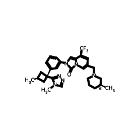 C[C@H]1CCCN(Cc2cc(C(F)(F)F)c3cn(-c4cccc([C@]5(c6nncn6C)C[C@H](C)C5)c4)c(=O)n3c2)C1